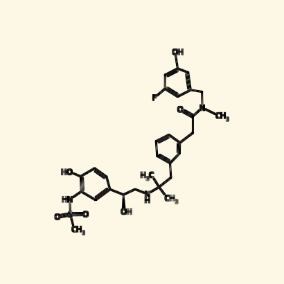 CN(Cc1cc(O)cc(F)c1)C(=O)Cc1cccc(CC(C)(C)NC[C@@H](O)c2ccc(O)c(NS(C)(=O)=O)c2)c1